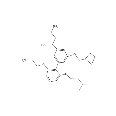 CC(C)CCOc1cccc(OCCN)c1-c1cc(OCC2CCC2)cc(C(O)CCN)c1